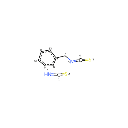 N=C=S.S=C=NCc1ccccc1